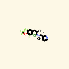 CC(Cc1cc(F)c(OC(F)(F)F)c(F)c1Cl)CN(C)Cc1cccnc1